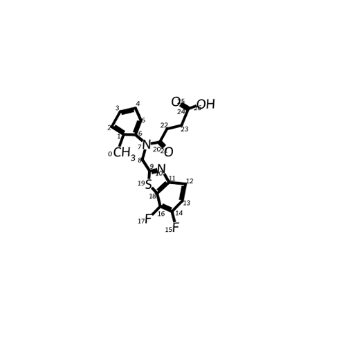 Cc1ccccc1N(Cc1nc2ccc(F)c(F)c2s1)C(=O)CCC(=O)O